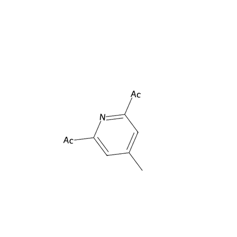 CC(=O)c1cc(C)cc(C(C)=O)n1